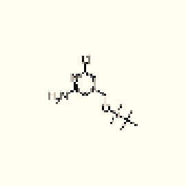 CC(C)(C)[Si](C)(C)OCc1cc(N)nc(Cl)c1